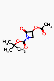 CC(=O)OC1CN(C(=O)OC(C)(C)C)C1=O